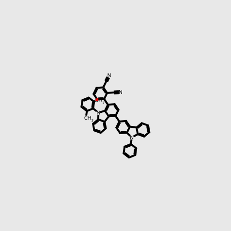 Cc1cccc(C)c1-n1c2ccccc2c2c(-c3ccc4c(c3)c3ccccc3n4-c3ccccc3)ccc(-c3cccc(C#N)c3C#N)c21